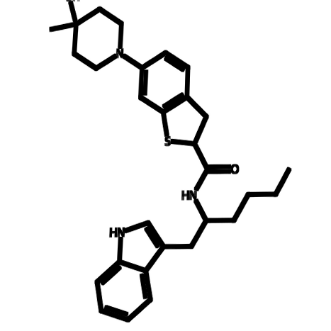 CCCCC(Cc1c[nH]c2ccccc12)NC(=O)C1Cc2ccc(N3CCC(C)(O)CC3)cc2S1